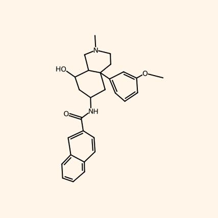 COc1cccc(C23CCN(C)CC2C(O)CC(NC(=O)c2ccc4ccccc4c2)C3)c1